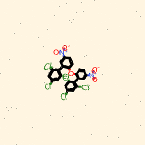 O=[N+]([O-])c1ccc(Oc2ccc([N+](=O)[O-])cc2-c2c(Cl)cc(Cl)cc2Cl)c(-c2c(Cl)cc(Cl)cc2Cl)c1